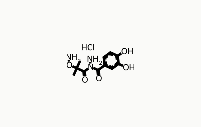 CC(C)(ON)C(=O)N(N)C(=O)c1ccc(O)c(O)c1.Cl